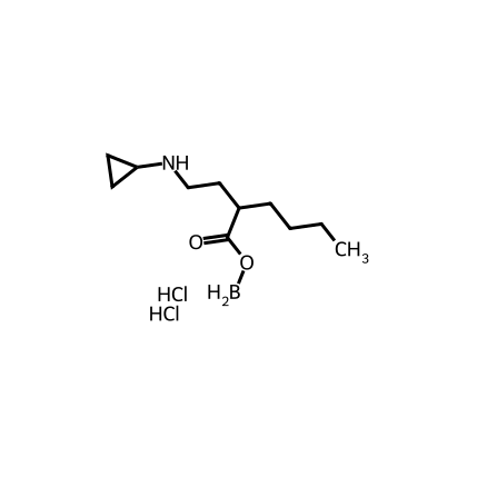 BOC(=O)C(CCCC)CCNC1CC1.Cl.Cl